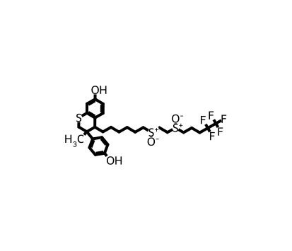 CC1(c2ccc(O)cc2)CSc2cc(O)ccc2C1CCCCCC[S+]([O-])CC[S+]([O-])CCCC(F)(F)C(F)(F)F